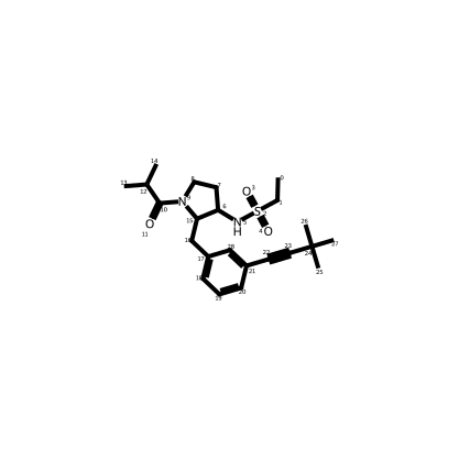 CCS(=O)(=O)NC1CCN(C(=O)C(C)C)C1Cc1cccc(C#CC(C)(C)C)c1